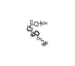 CC(C)(O)[C@H]1CC[C@H](Nc2nccc(-n3ncc4c(OCCCS(C)(=O)=O)cccc43)n2)CC1